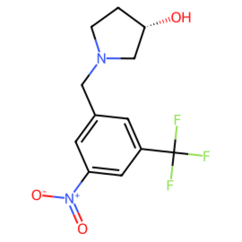 O=[N+]([O-])c1cc(CN2CC[C@H](O)C2)cc(C(F)(F)F)c1